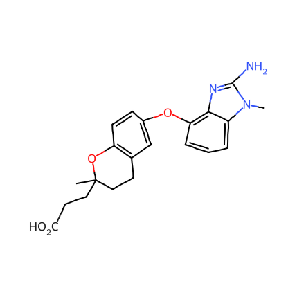 Cn1c(N)nc2c(Oc3ccc4c(c3)CCC(C)(CCC(=O)O)O4)cccc21